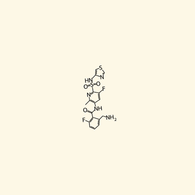 Cc1nc(S(=O)(=O)Nc2cscn2)c(F)cc1NC(=O)c1c(F)cccc1CN